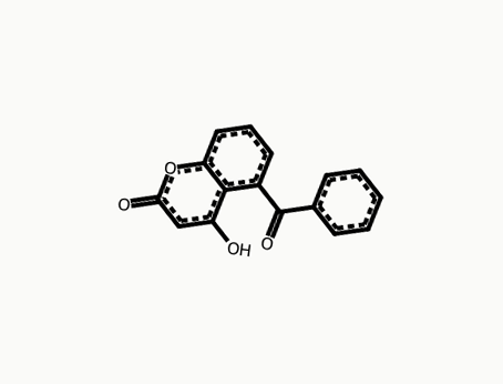 O=C(c1ccccc1)c1cccc2oc(=O)cc(O)c12